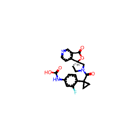 O=C(O)Nc1ccc(C2(C(=O)N3CC[C@@]4(C3)OC(=O)c3cnccc34)CC2)c(F)c1